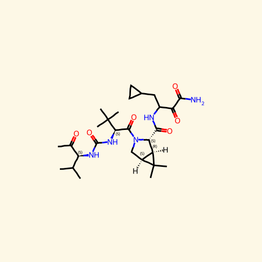 CC(=O)[C@@H](NC(=O)N[C@H](C(=O)N1C[C@H]2[C@@H]([C@H]1C(=O)NC(CC1CC1)C(=O)C(N)=O)C2(C)C)C(C)(C)C)C(C)C